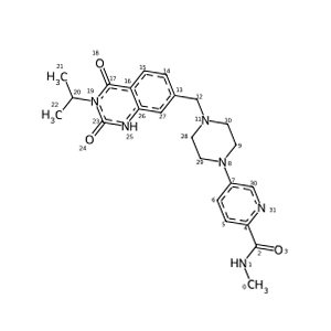 CNC(=O)c1ccc(N2CCN(Cc3ccc4c(=O)n(C(C)C)c(=O)[nH]c4c3)CC2)cn1